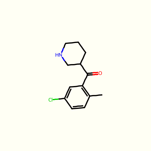 Cc1ccc(Cl)cc1C(=O)C1CCCNC1